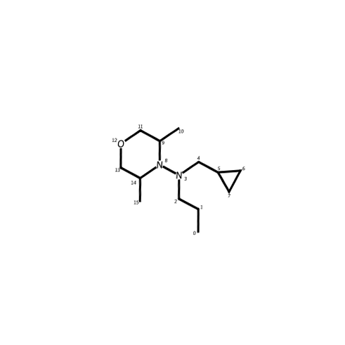 CCCN(CC1CC1)N1C(C)COCC1C